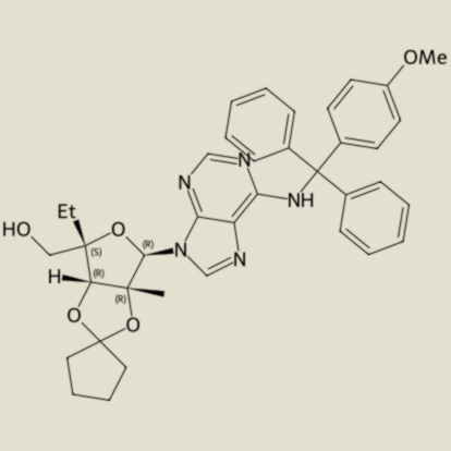 CC[C@@]1(CO)O[C@@H](n2cnc3c(NC(c4ccccc4)(c4ccccc4)c4ccc(OC)cc4)ncnc32)[C@]2(C)OC3(CCCC3)O[C@H]12